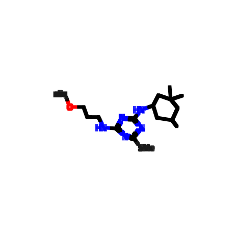 CCCCOCCCNc1nc(NC2CC(C)CC(C)(C)C2)nc(SC)n1